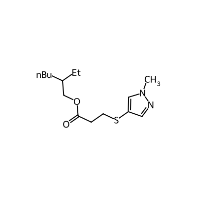 CCCCC(CC)COC(=O)CCSc1cnn(C)c1